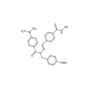 COc1ccc(CN(N=Cc2ccc(C(=O)NO)cc2)C(=O)c2ccc(N(C)C)cc2)cc1